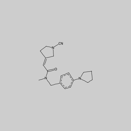 CN(Cc1ccc(N2CCCC2)cc1)C(=O)C=C1CCN(C#N)C1